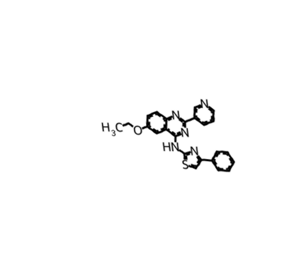 CCOc1ccc2nc(-c3cccnc3)nc(Nc3nc(-c4ccccc4)cs3)c2c1